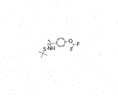 C[C@H](NSC(C)(C)C)c1ccc(OC(F)F)cc1